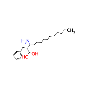 CCCCCCCCCCCC(N)C(Cc1ccccc1)C(O)O